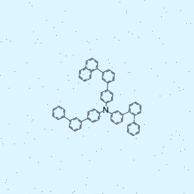 c1ccc(-c2cccc(-c3ccc(N(c4ccc(-c5cccc(-c6cccc7ccccc67)c5)cc4)c4cccc(-c5ccccc5-c5ccccc5)c4)cc3)c2)cc1